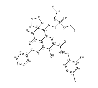 CCOP(=O)(CCN1N2C=C(C(=O)NCc3ccc(F)cc3F)C(O)C(OCc3ccccc3)=C2C(=O)N(C)C12CCCC2)OCC